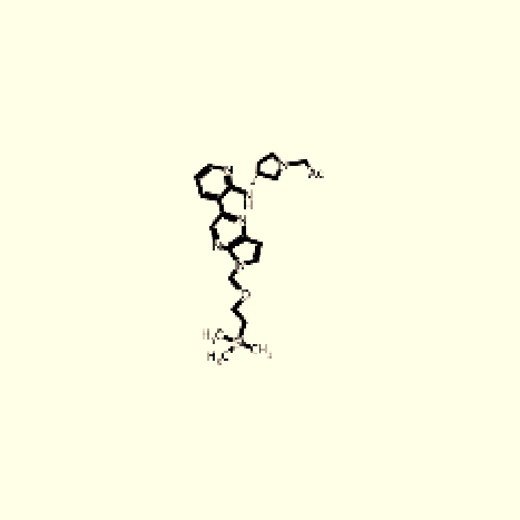 CC(=O)CN1CC[C@@H](Nc2ncccc2-c2cnc3c(ccn3COCC[Si](C)(C)C)n2)C1